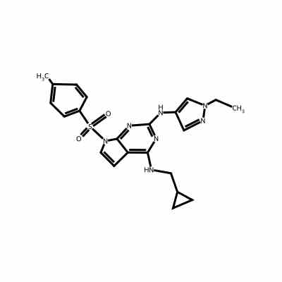 CCn1cc(Nc2nc(NCC3CC3)c3ccn(S(=O)(=O)c4ccc(C)cc4)c3n2)cn1